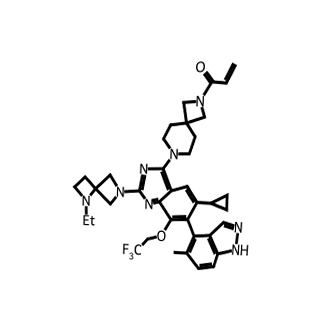 C=CC(=O)N1CC2(CCN(c3nc(N4CC5(CCN5CC)C4)nc4c(OCC(F)(F)F)c(-c5c(C)ccc6[nH]ncc56)c(C5CC5)cc34)CC2)C1